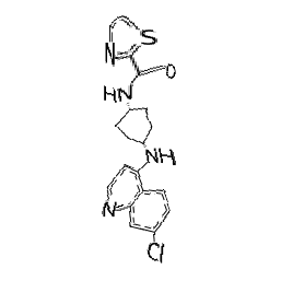 O=C(N[C@H]1CC[C@@H](Nc2ccnc3cc(Cl)ccc23)CC1)c1nccs1